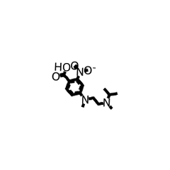 CC(C)N(C)CCN(C)c1ccc(C(=O)O)c([N+](=O)[O-])c1